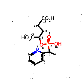 CC(c1ccccn1)P(=O)(O)OC(CCC(=O)O)C(=O)O